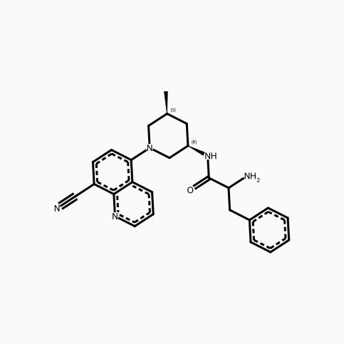 C[C@H]1C[C@@H](NC(=O)C(N)Cc2ccccc2)CN(c2ccc(C#N)c3ncccc23)C1